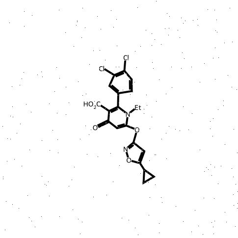 CCn1c(Oc2cc(C3CC3)on2)cc(=O)c(C(=O)O)c1-c1ccc(Cl)c(Cl)c1